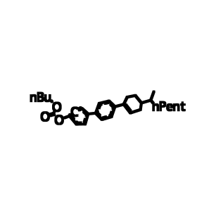 CCCCCC(C)C1CC=C(c2ccc(-c3ccc(OC(=O)OCCCC)cc3)cc2)CC1